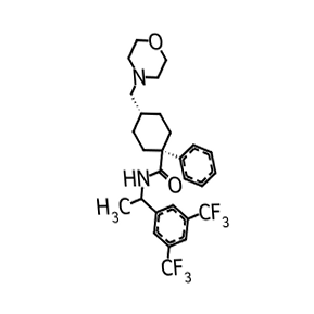 CC(NC(=O)[C@]1(c2ccccc2)CC[C@@H](CN2CCOCC2)CC1)c1cc(C(F)(F)F)cc(C(F)(F)F)c1